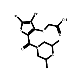 CC1CN(C(=O)c2sc(Br)c(Br)c2OCC(=O)O)CC(C)O1